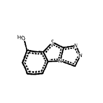 Oc1cccc2c1sc1nncn12